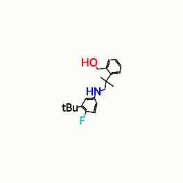 CC(C)(C)c1cc(NCC(C)(C)c2ccccc2CO)ccc1F